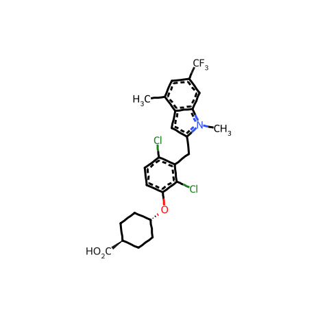 Cc1cc(C(F)(F)F)cc2c1cc(Cc1c(Cl)ccc(O[C@H]3CC[C@H](C(=O)O)CC3)c1Cl)n2C